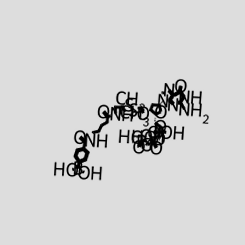 CC(C)(CNC(=O)CCCCNC(=O)c1ccc(B(O)O)cc1)SSCO[C@@H]1C[C@H](n2cnc3c(=O)[nH]c(N)nc32)O[C@@H]1COP(=O)(O)OP(=O)(O)OP(=O)(O)O